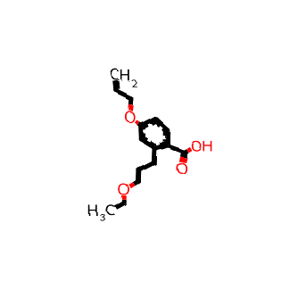 C=CCOc1ccc(C(=O)O)c(CCCOCC)c1